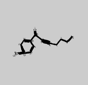 CCCCC#CC(=O)c1ccc(F)cc1